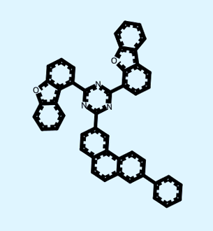 c1ccc(-c2ccc3c(ccc4ccc(-c5nc(-c6cccc7c6oc6ccccc67)nc(-c6cccc7oc8ccccc8c67)n5)cc43)c2)cc1